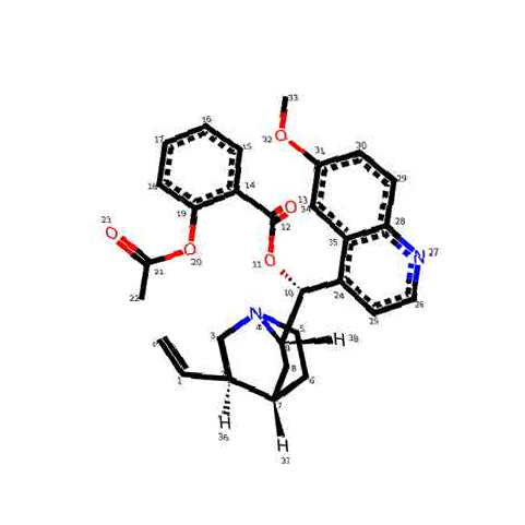 C=C[C@H]1CN2CC[C@H]1C[C@H]2[C@H](OC(=O)c1ccccc1OC(C)=O)c1ccnc2ccc(OC)cc12